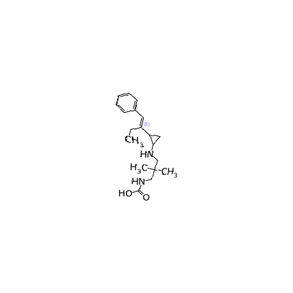 CC/C(=C\c1ccccc1)C1CC1NCC(C)(C)CNC(=O)O